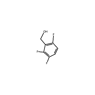 OCc1c(F)ccc(F)c1F